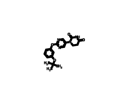 BC(B)(B)Oc1cccc(Oc2ncc(N3CCC(=O)NC3=O)cn2)c1